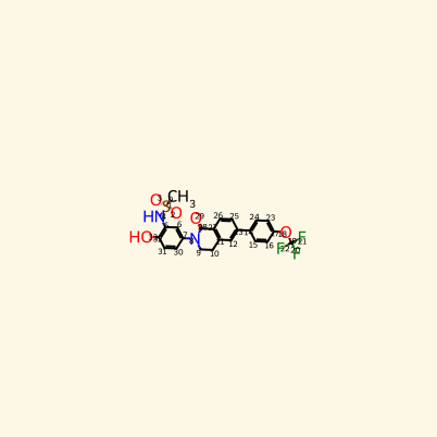 CS(=O)(=O)Nc1cc(N2CCc3cc(-c4ccc(OC(F)(F)F)cc4)ccc3C2=O)ccc1O